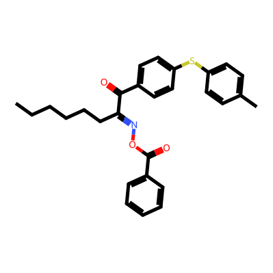 CCCCCC/C(=N\OC(=O)c1ccccc1)C(=O)c1ccc(Sc2ccc(C)cc2)cc1